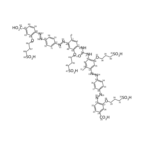 Cc1cc(NC(=O)Nc2cc(C)c(N=Nc3ccc(N=Nc4ccc(C(=O)O)cc4OCCCS(=O)(=O)O)cc3)cc2OCCCS(=O)(=O)O)c(OCCCS(=O)(=O)O)cc1N=Nc1ccc(N=Nc2ccc(C(=O)O)cc2OCCCS(=O)(=O)O)cc1